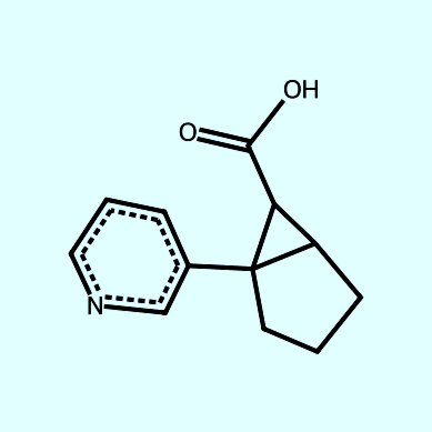 O=C(O)C1C2CCCC21c1cccnc1